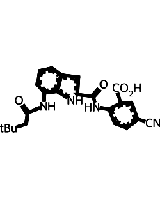 CC(C)(C)CC(=O)Nc1cccc2cc(C(=O)Nc3ccc(C#N)cc3C(=O)O)[nH]c12